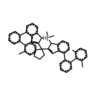 Cc1cccc(C)c1-c1ccccc1-c1cccc2c1C=C1[CH]2[Hf]([CH3])([CH3])[CH]2C(=Cc3c(-c4ccccc4-c4c(C)cccc4C)cccc32)C12CCCC2